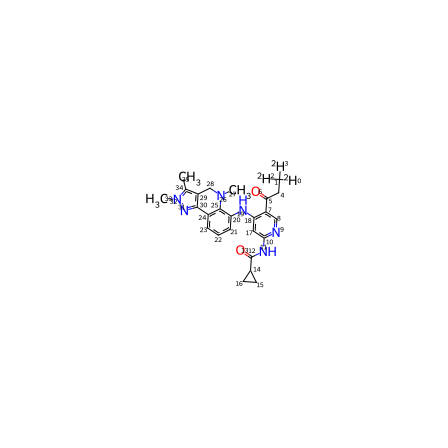 [2H]C([2H])([2H])CC(=O)c1cnc(NC(=O)C2CC2)cc1Nc1cccc2c1N(C)Cc1c-2nn(C)c1C